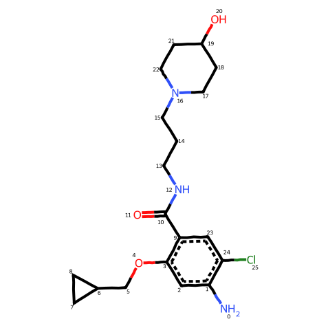 Nc1cc(OCC2CC2)c(C(=O)NCCCN2CCC(O)CC2)cc1Cl